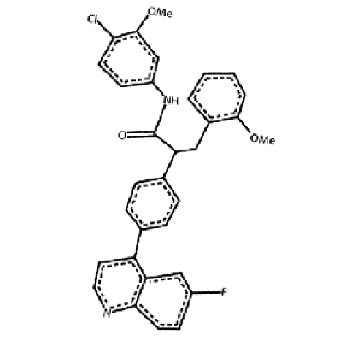 COc1cc(NC(=O)C(Cc2ccccc2OC)c2ccc(-c3ccnc4ccc(F)cc34)cc2)ccc1Cl